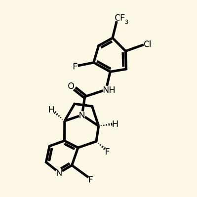 O=C(Nc1cc(Cl)c(C(F)(F)F)cc1F)N1[C@@H]2CC[C@H]1[C@H](F)c1c2ccnc1F